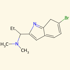 CCC(C1=CC2=CC=C(Br)CC2=N1)N(C)C